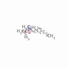 CCCCCC1CCC(C2CCC(N(C)C(=O)C=C(C)C)CC2)CC1